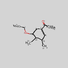 COCOC1CC(C(=O)OC)=CC(C)C1C